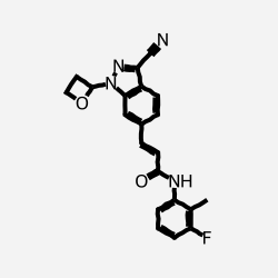 Cc1c(F)cccc1NC(=O)/C=C/c1ccc2c(C#N)nn(C3CCO3)c2c1